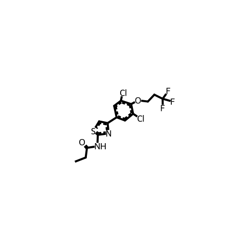 CCC(=O)Nc1nc(-c2cc(Cl)c(OCCC(F)(F)F)c(Cl)c2)cs1